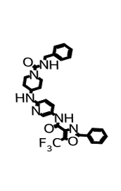 O=C(Nc1ccc(NC2CCN(C(=O)NCc3ccccc3)CC2)nc1)c1nc(-c2ccccc2)oc1C(F)(F)F